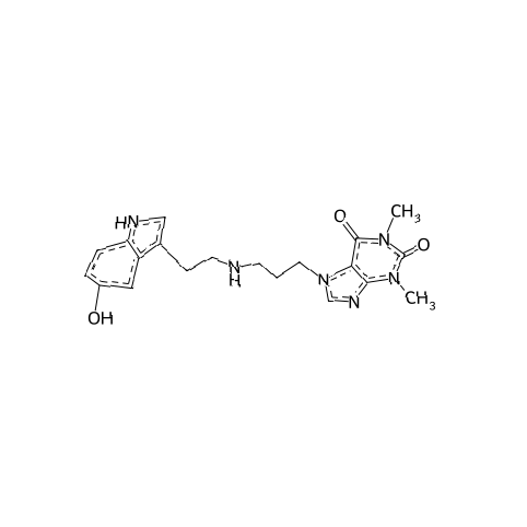 Cn1c(=O)c2c(ncn2CCCNCCc2c[nH]c3ccc(O)cc23)n(C)c1=O